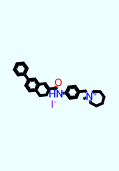 C[N+]1(Cc2ccc(NC(=O)C3=Cc4cc(-c5ccccc5)ccc4CC3)cc2)CCCCCC1.[I-]